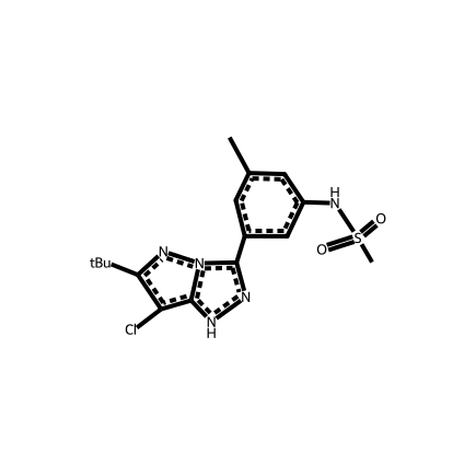 Cc1cc(NS(C)(=O)=O)cc(-c2n[nH]c3c(Cl)c(C(C)(C)C)nn23)c1